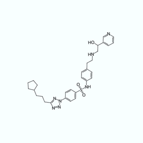 O=S(=O)(Nc1ccc(CCNCC(O)c2cccnc2)cc1)c1ccc(-n2nnc(CCCC3CCCC3)n2)cc1